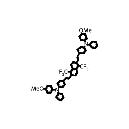 COc1ccc(N(c2ccccc2)c2ccc(C=Cc3ccc4c(C(F)(F)F)c(C=Cc5ccc(N(c6ccccc6)c6ccc(OC)cc6)cc5)ccc4c3C(F)(F)F)cc2)cc1